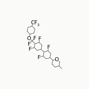 CC1CCC(C2CC(F)C(C3CC(F)C(C(F)(F)OC4CCC(C(F)(F)F)CC4)C(F)C3)C(F)C2)OC1